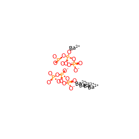 O=P([O-])([O-])OP(=O)([O-])OP(=O)([O-])[O-].O=P([O-])([O-])OP(=O)([O-])OP(=O)([O-])[O-].[Ba+2].[Ba+2].[Ba+2].[Ba+2].[Ba+2]